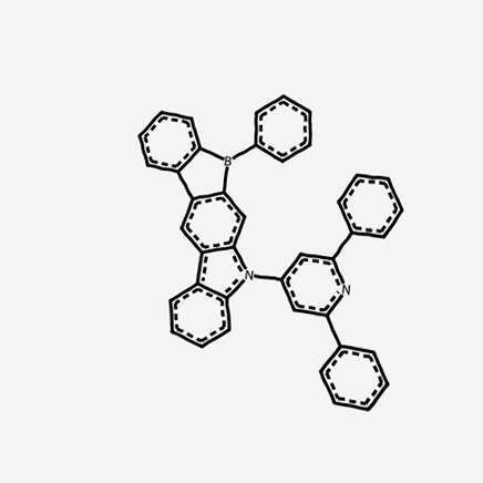 c1ccc(B2c3ccccc3-c3cc4c5ccccc5n(-c5cc(-c6ccccc6)nc(-c6ccccc6)c5)c4cc32)cc1